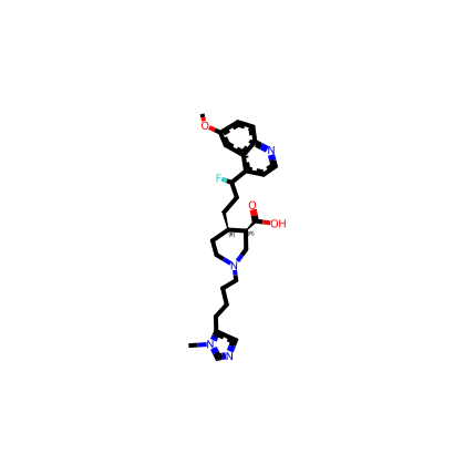 COc1ccc2nccc(C(F)CC[C@@H]3CCN(CCCCc4cncn4C)C[C@@H]3C(=O)O)c2c1